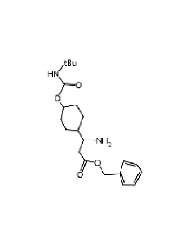 CC(C)(C)NC(=O)OC1CCC(C(N)CC(=O)OCc2ccccc2)CC1